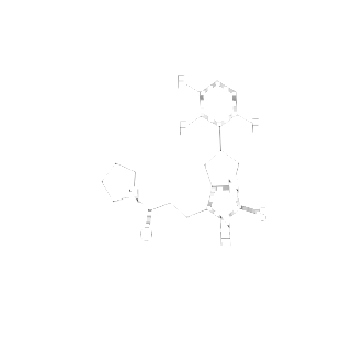 O=C(CCc1[nH]c(=S)n2c1CC(c1c(F)ccc(F)c1F)C2)N1CCCC1